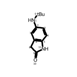 CC(C)(C)Nc1ccc2c(c1)CC(=O)N2